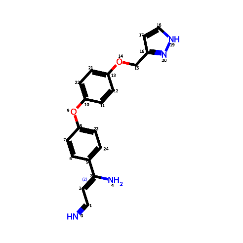 N=C/C=C(\N)c1ccc(Oc2ccc(OCc3cc[nH]n3)cc2)cc1